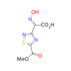 COC(=O)c1nc(C(=NO)C(=O)O)ns1